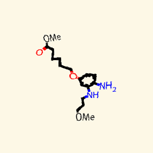 COCCCNc1cc(OCCCCCC(=O)OC)ccc1N